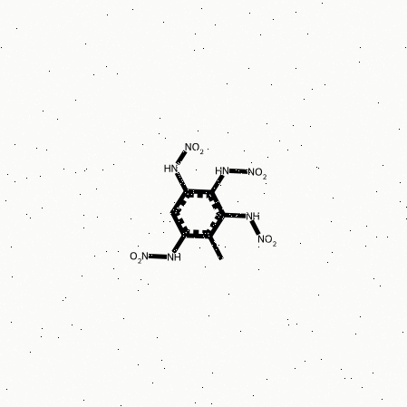 Cc1c(N[N+](=O)[O-])cc(N[N+](=O)[O-])c(N[N+](=O)[O-])c1N[N+](=O)[O-]